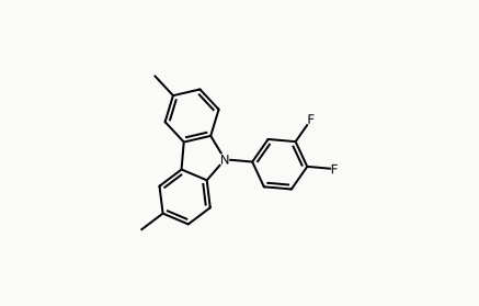 Cc1ccc2c(c1)c1cc(C)ccc1n2-c1ccc(F)c(F)c1